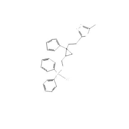 Cc1nnc(CCC2(c3ccccc3)CC2CO[Si](c2ccccc2)(c2ccccc2)C(C)(C)C)o1